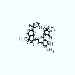 CCCC(F)(F)c1cc2c(cn1)C(C)(C)CN2C(=O)CN1C[C@@H](C)NC[C@@H]1CN1CC(C)(C)CC1=O